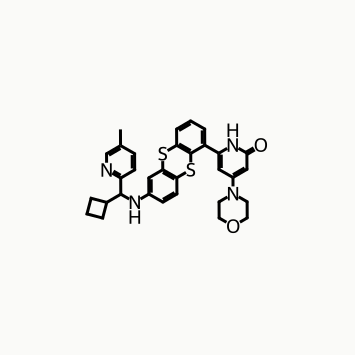 Cc1ccc(C(Nc2ccc3c(c2)Sc2cccc(-c4cc(N5CCOCC5)cc(=O)[nH]4)c2S3)C2CCC2)nc1